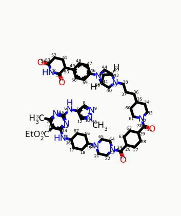 CCOC(=O)c1c(C)nc(Nc2cnn(C)c2)nc1NC1CCC(N2CCN(C(=O)C3CCC(C(=O)N4CCC(CCCN5C[C@@H]6C[C@H]5CN6c5ccc(C6CCC(=O)NC6=O)cc5)CC4)CC3)CC2)CC1